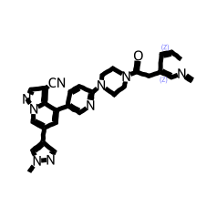 C=N/C=C(\C=C/C)CC(=O)N1CCN(c2ccc(-c3cc(-c4cnn(C)c4)cn4ncc(C#N)c34)cn2)CC1